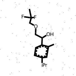 Cc1cc(C(C)C)ccc1C(O)COCC(C)(F)F